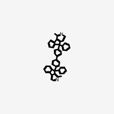 Cc1nccc2c1-c1ccccc1C2(c1ccccc1)c1ccc(-c2ccc(C3(c4ccccc4)c4ccccc4-c4ccnc(C)c43)cc2)cc1